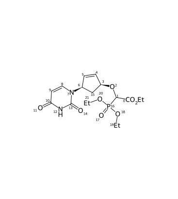 CCOC(=O)C(O[C@@H]1C=C[C@H](n2ccc(=O)[nH]c2=O)C1)P(=O)(OCC)OCC